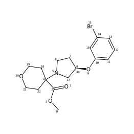 COC(=O)C1(N2CC[C@@H](Oc3cccc(Br)c3)C2)CCOCC1